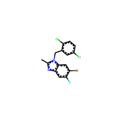 Cc1nc2cc(F)c(Br)cc2n1Cc1cc(Cl)ccc1Cl